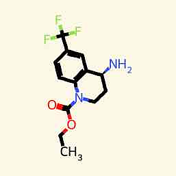 CCOC(=O)N1CC[C@H](N)c2cc(C(F)(F)F)ccc21